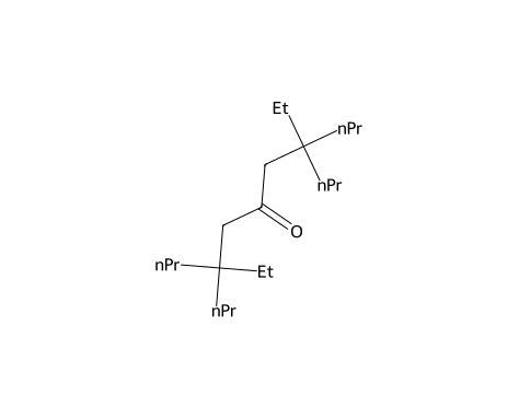 CCCC(CC)(CCC)CC(=O)CC(CC)(CCC)CCC